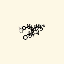 CC(C)(C)C(NC(=O)CC1CCCCCC1)C(=O)N1C[C@@]2(CC(c3ccc(F)c(Cl)c3)=NO2)C[C@H]1C(=O)N[C@@H](CC1CC1)C(=O)C(=O)NC1CC1